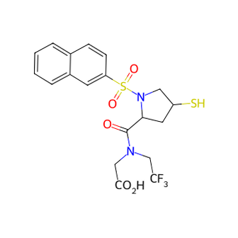 O=C(O)CN(CC(F)(F)F)C(=O)C1CC(S)CN1S(=O)(=O)c1ccc2ccccc2c1